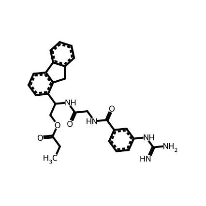 CCC(=O)OCC(NC(=O)CNC(=O)c1cccc(NC(=N)N)c1)c1cccc2c1Cc1ccccc1-2